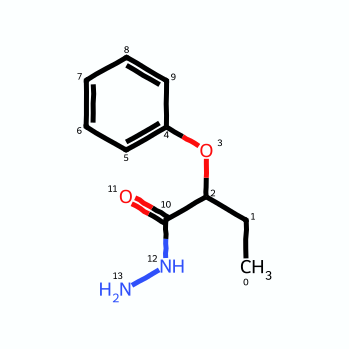 CCC(Oc1ccccc1)C(=O)NN